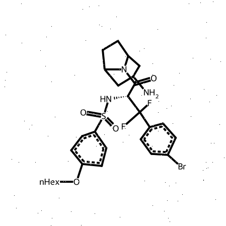 CCCCCCOc1ccc(S(=O)(=O)N[C@H](C(=O)N2C3CCC2CC(N)C3)C(F)(F)c2ccc(Br)cc2)cc1